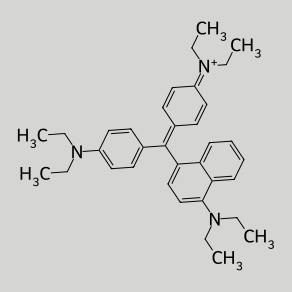 CCN(CC)c1ccc(C(=C2C=CC(=[N+](CC)CC)C=C2)c2ccc(N(CC)CC)c3ccccc23)cc1